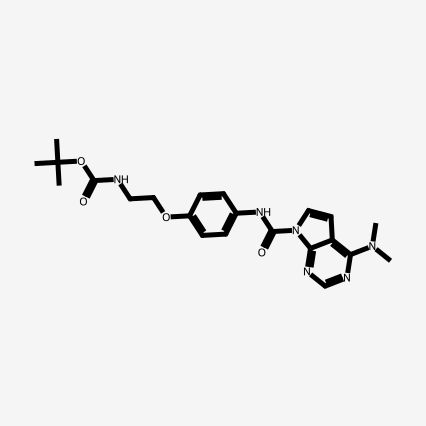 CN(C)c1ncnc2c1ccn2C(=O)Nc1ccc(OCCNC(=O)OC(C)(C)C)cc1